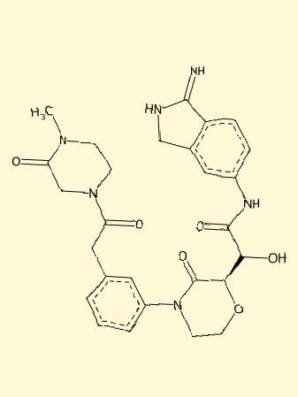 CN1CCN(C(=O)Cc2cccc(N3CCO[C@H](C(O)C(=O)Nc4ccc5c(c4)CNC5=N)C3=O)c2)CC1=O